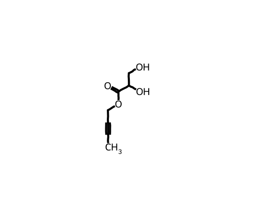 CC#CCOC(=O)C(O)CO